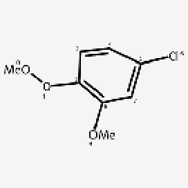 COOc1ccc(Cl)cc1OC